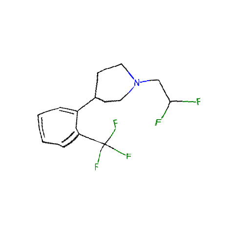 FC(F)CN1CCC(c2ccccc2C(F)(F)F)C1